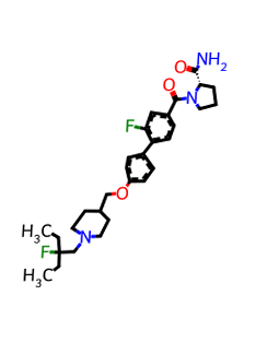 CCC(F)(CC)CN1CCC(COc2ccc(-c3ccc(C(=O)N4CCC[C@H]4C(N)=O)cc3F)cc2)CC1